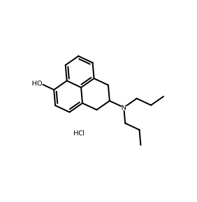 CCCN(CCC)C1Cc2cccc3c(O)ccc(c23)C1.Cl